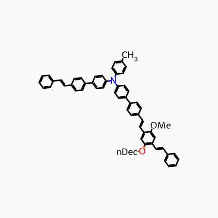 CCCCCCCCCCOc1cc(C=Cc2ccc(-c3ccc(N(c4ccc(C)cc4)c4ccc(-c5ccc(C=Cc6ccccc6)cc5)cc4)cc3)cc2)c(OC)cc1C=Cc1ccccc1